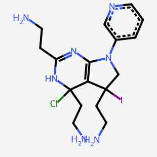 NCCC1=NC2=C(C(I)(CCN)CN2c2cccnc2)C(Cl)(CCN)N1